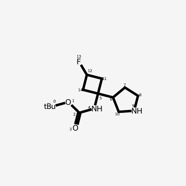 CC(C)(C)OC(=O)NC1(C2CCNC2)CC(F)C1